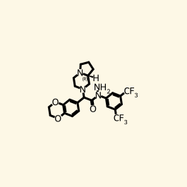 NN(C(=O)C(c1ccc2c(c1)OCCO2)N1CCN2CCC[C@@H]2C1)c1cc(C(F)(F)F)cc(C(F)(F)F)c1